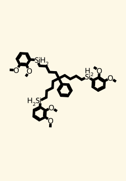 COc1cccc([SiH2]CCCCC(CCCC[SiH2]c2cccc(OC)c2OC)(CCCC[SiH2]c2cccc(OC)c2OC)c2ccccc2)c1OC